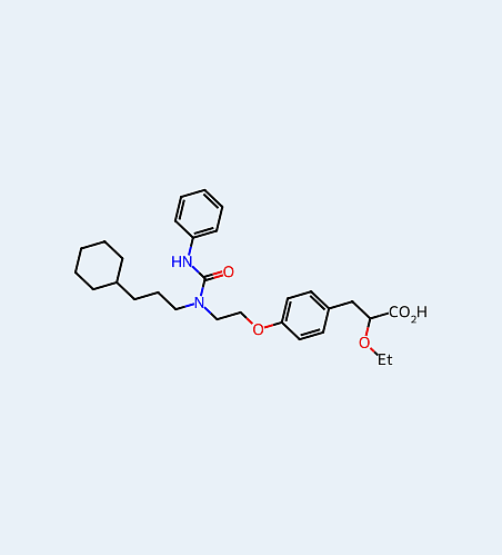 CCOC(Cc1ccc(OCCN(CCCC2CCCCC2)C(=O)Nc2ccccc2)cc1)C(=O)O